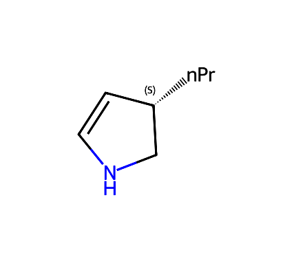 CCC[C@H]1C=CNC1